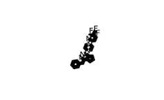 FC(F)(F)c1ccc(N2CCN(c3nnc(Cc4ccccc4)c4c3C=CC4)CC2)nc1